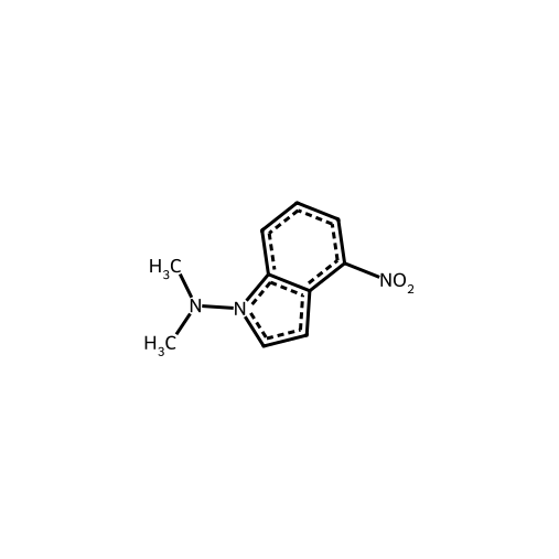 CN(C)n1ccc2c([N+](=O)[O-])cccc21